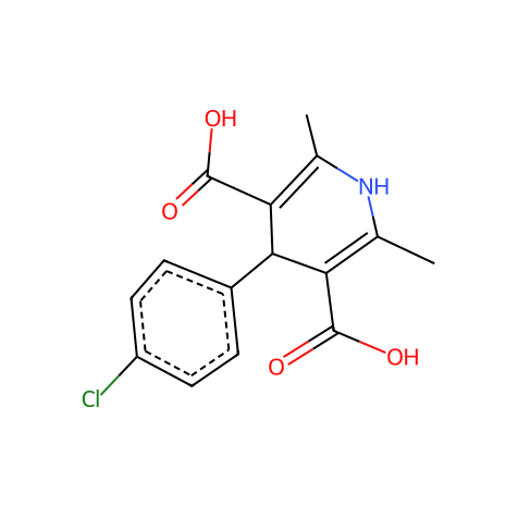 CC1=C(C(=O)O)C(c2ccc(Cl)cc2)C(C(=O)O)=C(C)N1